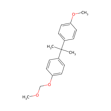 COCOc1ccc(C(C)(C)c2ccc(OC)cc2)cc1